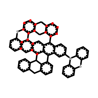 c1ccc(CC2c3ccccc3Cc3cccc(-c4c5cc(N6c7ccccc7Sc7ccccc76)ccc5c(-c5cccc6c5C5c7ccccc7C6c6ccccc65)c5cc(N6c7ccccc7Sc7ccccc76)ccc45)c32)cc1